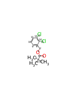 CC(C)(C)C(=O)OCc1cccc(Cl)c1Cl